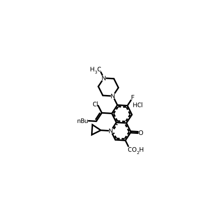 CCCCC=C(Cl)c1c(N2CCN(C)CC2)c(F)cc2c(=O)c(C(=O)O)cn(C3CC3)c12.Cl